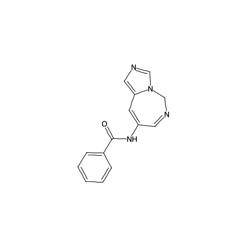 O=C(NC1=Cc2cncn2CN=C1)c1ccccc1